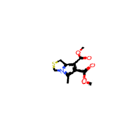 COC(=O)c1c(C(=O)OC)c2n(c1C)CSC2